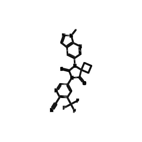 Cn1ncc2cc(N3C(=S)N(c4cnc(C#N)c(C(F)(F)F)c4)C(=O)C34CCC4)cnc21